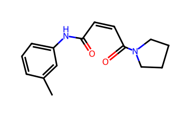 Cc1cccc(NC(=O)/C=C\C(=O)N2CCCC2)c1